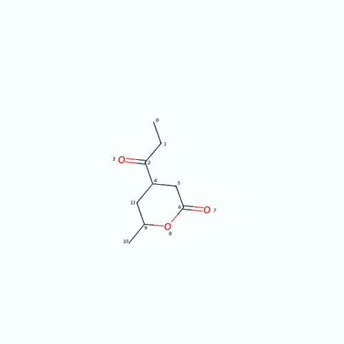 CCC(=O)C1CC(=O)OC(C)C1